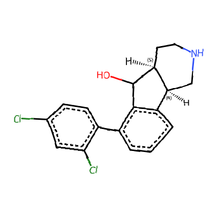 OC1c2c(-c3ccc(Cl)cc3Cl)cccc2[C@@H]2CNCC[C@H]12